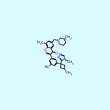 Cc1cc(CN2CCC[C@H](C)C2)cc2c(=O)c(-c3cc(C#N)cc(C4(c5nncn5C)CC(C)C4)c3)coc12